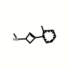 CNC1C=C(c2ccccc2C)C1